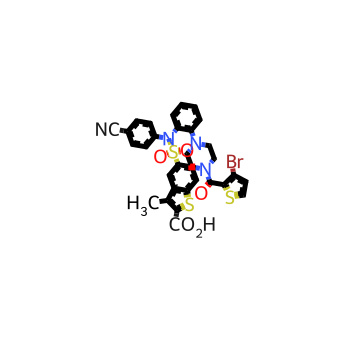 Cc1c(C(=O)O)sc2ccc(S(=O)(=O)N(c3ccc(C#N)cc3)c3ccccc3N3CCN(C(=O)c4sccc4Br)CC3)cc12